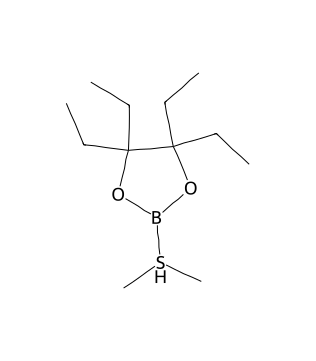 CCC1(CC)OB([SH](C)C)OC1(CC)CC